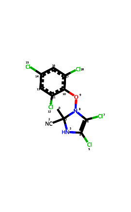 CC1(C#N)NC(Cl)=C(Cl)N1Oc1c(Cl)cc(Cl)cc1Cl